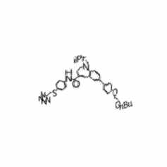 CCCCOCCOc1ccc(-c2ccc3c(c2)C=C(C(=O)Nc2ccc(SCc4nnnn4C)cc2)CCN3CC(C)C)cc1